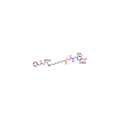 CCCCCCC(C/C=C\CCCCCCCC(=O)OCC(=O)NCc1cc(OC)c(O)cc1C)OC(=O)Cc1ccccc1